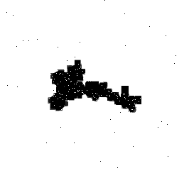 C=C(C[C@H](C)C[C@H](O)CCn1c(-c2ccc(F)cc2)c(-c2ccccc2)c(C(=O)Nc2ccccc2)c1C(C)C)NCCCC[C@@H](O)CC(C)O